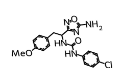 COc1ccc(CC(NC(=O)Nc2ccc(Cl)cc2)c2noc(N)n2)cc1